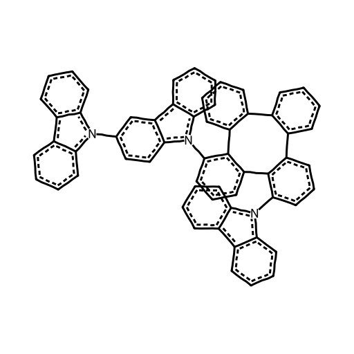 c1ccc2c(c1)-c1ccccc1-c1c(cccc1-n1c3ccccc3c3cc(-n4c5ccccc5c5ccccc54)ccc31)-c1c-2cccc1-n1c2ccccc2c2ccccc21